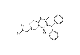 CCC(CC)CN1CCc2nc(C)n(C(c3ccccc3)c3ccccc3)c(=O)c2C1